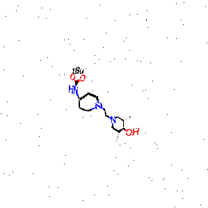 C[C@@H]1CN(CCN2CCC(NC(=O)OC(C)(C)C)CC2)C[C@H](C)C1O